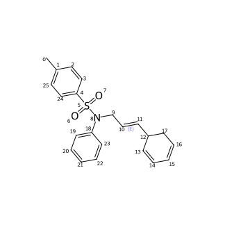 Cc1ccc(S(=O)(=O)N(C/C=C/C2C=CC=CC2)c2ccccc2)cc1